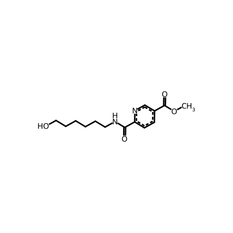 COC(=O)c1ccc(C(=O)NCCCCCCO)nc1